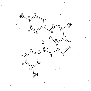 O=C(Oc1cccc(C(=O)O)c1OC(=O)c1ccc(O)cc1)c1cccc(O)c1